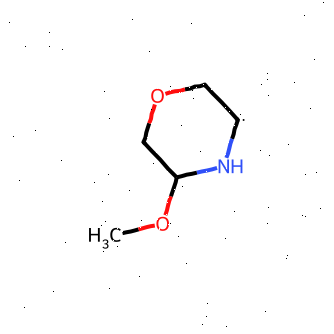 COC1COC[CH]N1